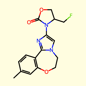 Cc1ccc2c(c1)OCCn1cc(N3C(=O)OCC3CF)nc1-2